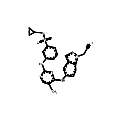 C#CCn1ncc2cc(Nc3nc(Nc4cccc(S(=O)(=O)NC5CC5)c4)ncc3C)ccc21